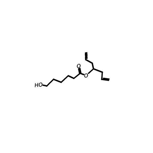 C=CCC(CC=C)OC(=O)CCCCCO